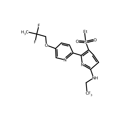 CCS(=O)(=O)c1ccc(NCC(F)(F)F)nc1-c1ccc(OCC(C)(F)F)cn1